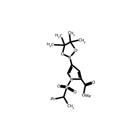 COC(=O)c1cc(B2OC(C)(C)C(C)(C)O2)cn1S(=O)(=O)C(C)C(C)C